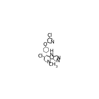 CN1CC=C(Cl)C([C@H]2CC[C@H](Oc3cncc(Cl)c3)CC2)=c2[nH]c3c(c21)CN=NC=3